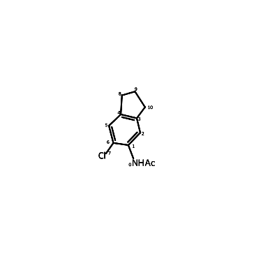 CC(=O)Nc1cc2c(cc1Cl)CCC2